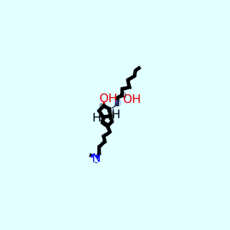 CCCCCC[C@H](O)/C=C/[C@@H]1[C@H]2CC(CCCCCN(C)C)=C[C@H]2C[C@H]1O